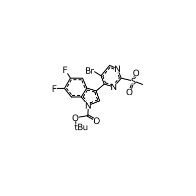 CC(C)(C)OC(=O)n1cc(-c2nc(S(C)(=O)=O)ncc2Br)c2cc(F)c(F)cc21